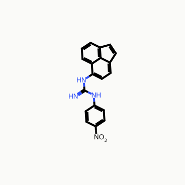 N=C(Nc1ccc([N+](=O)[O-])cc1)Nc1ccc2c3c(cccc13)C=C2